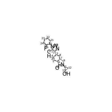 Cc1c(-c2ccc3c(c2)CN(C2CC2O)C3=O)nnn1-c1ccccc1F